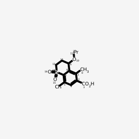 Cc1c(C(=O)O)cc(Cl)c2c1C(OC(C)C)CCS2(=O)=O